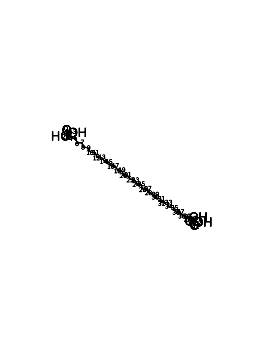 O=P(O)(O)CCCCCCCCCCCCCCCCCCCCCCCCCCCCCCCCCCCCOP(=O)(O)O